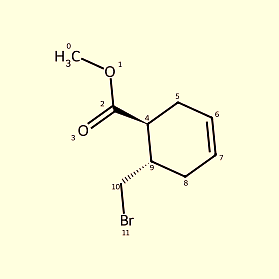 COC(=O)[C@H]1CC=CC[C@@H]1CBr